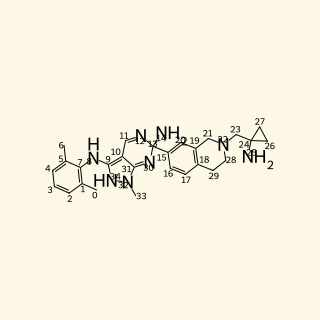 Cc1cccc(C)c1NC1=C2C=NC(N)(c3ccc4c(c3)CN(CC3(N)CC3)CC4)N=C2N(C)N1